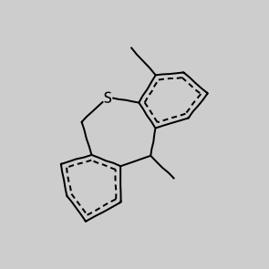 Cc1cccc2c1SCc1ccccc1C2C